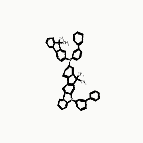 CC1(C)c2ccccc2-c2ccc(N(c3cccc(-c4ccccc4)c3)c3ccc4c(c3)C(C)(C)c3cc5c(cc3-4)c3ccccc3n5-c3cccc(-c4ccccc4)c3)cc21